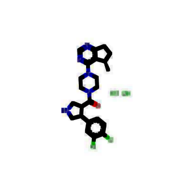 C[C@@H]1CCc2ncnc(N3CCN(C(=O)C4CNCC4c4ccc(Cl)c(Cl)c4)CC3)c21.Cl.Cl